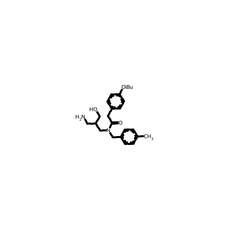 Cc1ccc(CN(CC(CN)CO)C(=O)Cc2ccc(OCC(C)C)cc2)cc1